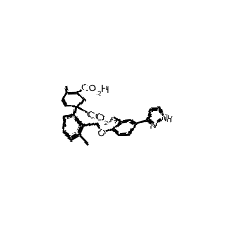 CC1=C(C(=O)O)CC(C(=O)O)(c2cccc(C)c2COc2ccc(-c3cc[nH]n3)cc2C)C=C1